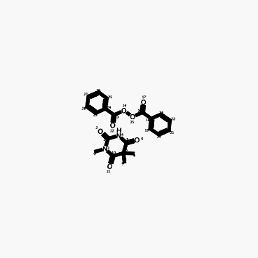 CN1C(=O)NC(=O)C(C)(C)C1=O.O=C(OOC(=O)c1ccccc1)c1ccccc1